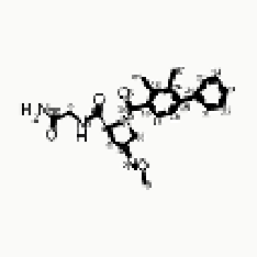 CON=C1C[C@@H](C(=O)NCC(N)=O)N(C(=O)c2ccc(-c3ccccc3)c(C)c2C)C1